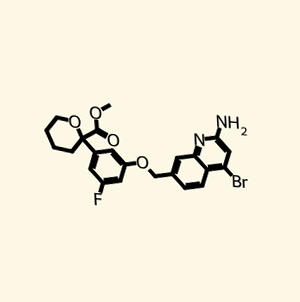 COC(=O)C1(c2cc(F)cc(OCc3ccc4c(Br)cc(N)nc4c3)c2)CCCCO1